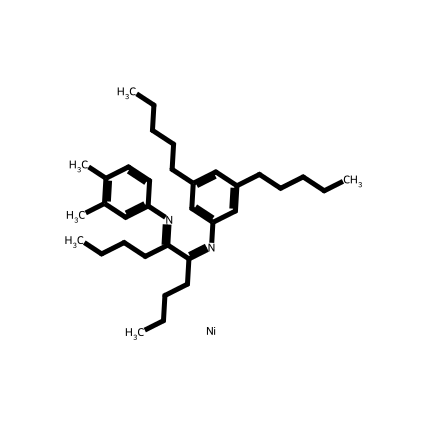 CCCCCc1cc(CCCCC)cc(N=C(CCCC)C(CCCC)=Nc2ccc(C)c(C)c2)c1.[Ni]